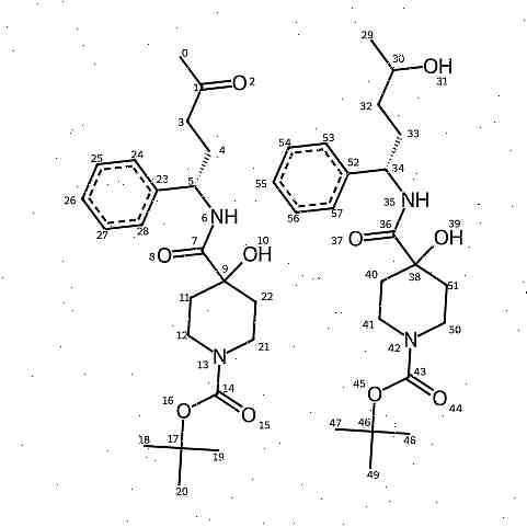 CC(=O)CC[C@H](NC(=O)C1(O)CCN(C(=O)OC(C)(C)C)CC1)c1ccccc1.CC(O)CC[C@H](NC(=O)C1(O)CCN(C(=O)OC(C)(C)C)CC1)c1ccccc1